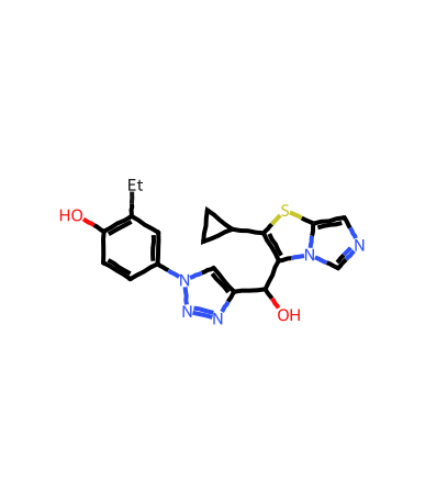 CCc1cc(-n2cc(C(O)c3c(C4CC4)sc4cncn34)nn2)ccc1O